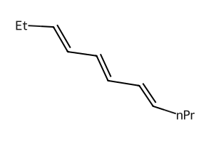 [CH2]CCC=CC=CC=CCC